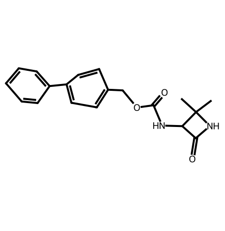 CC1(C)NC(=O)C1NC(=O)OCc1ccc(-c2ccccc2)cc1